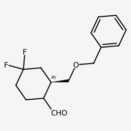 O=CC1CCC(F)(F)C[C@H]1COCc1ccccc1